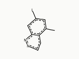 Cc1cc(I)cc2nnccc12